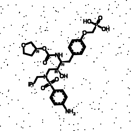 CC(C)CN(C[C@@H](O)[C@H](Cc1ccc(OCP(=O)(O)O)cc1)NC(=O)O[C@H]1CCOC1)S(=O)(=O)c1ccc(N)cc1